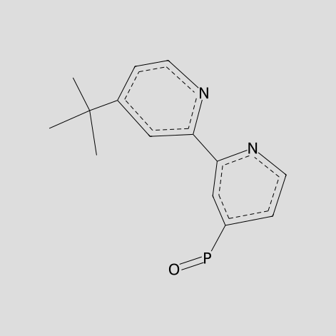 CC(C)(C)c1ccnc(-c2cc(P=O)ccn2)c1